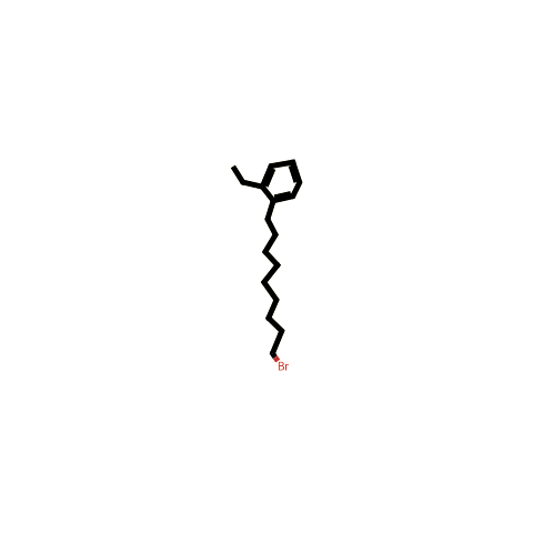 CCc1ccccc1CCCCCCCCCBr